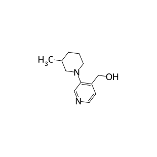 CC1CCCN(c2cnccc2CO)C1